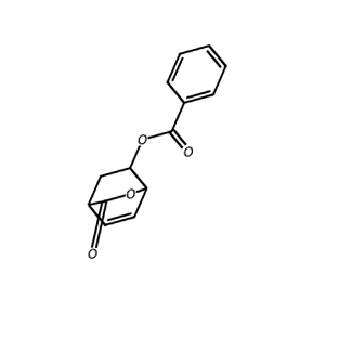 O=C(OC1CC2C=CC1OC2=O)c1ccccc1